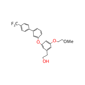 COCCOc1cc(CCO)cc(Oc2cccc(-c3ccc(C(F)(F)F)cc3)c2)c1